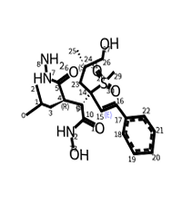 CC(C)C[C@@H](C(=O)NN)[C@@H](C(=O)NO)C(/C=C/c1ccccc1)(C[C@H](C)CO)S(C)(=O)=O